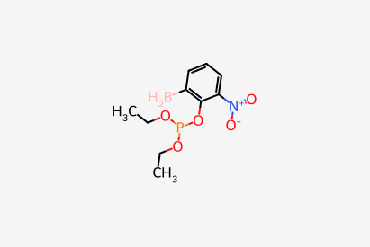 Bc1cccc([N+](=O)[O-])c1OP(OCC)OCC